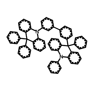 c1ccc(N2c3ccccc3C(c3ccccc3)(c3cccc(-c4cccc(N5c6ccccc6C(c6ccccc6)(c6ccccc6)c6ccccc65)c4)c3)c3ccccc32)cc1